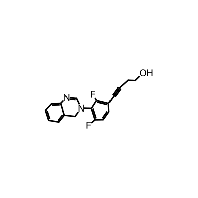 OCCC#Cc1ccc(F)c(N2C=Nc3ccccc3C2)c1F